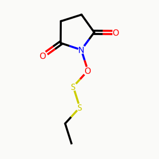 CCSSON1C(=O)CCC1=O